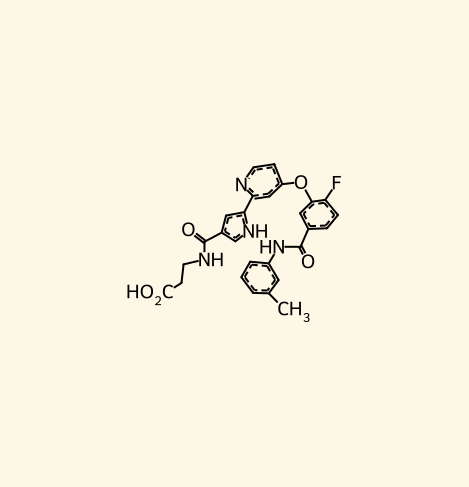 Cc1cccc(NC(=O)c2ccc(F)c(Oc3ccnc(-c4cc(C(=O)NCCC(=O)O)c[nH]4)c3)c2)c1